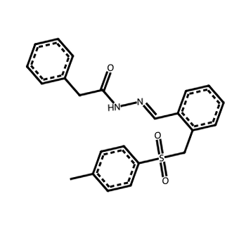 Cc1ccc(S(=O)(=O)Cc2ccccc2C=NNC(=O)Cc2ccccc2)cc1